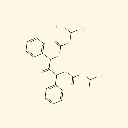 CC(C)OC(=S)SC(C(=O)C(SC(=S)OC(C)C)c1ccccc1)c1ccccc1